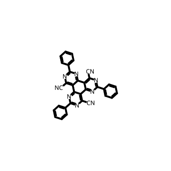 N#Cc1nc(-c2ccccc2)nc2c1c1nc(-c3ccccc3)nc(C#N)c1c1nc(-c3ccccc3)nc(C#N)c21